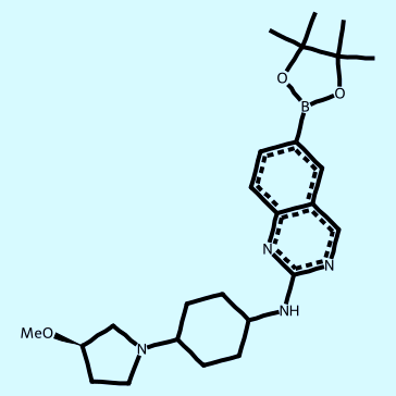 CO[C@@H]1CCN(C2CCC(Nc3ncc4cc(B5OC(C)(C)C(C)(C)O5)ccc4n3)CC2)C1